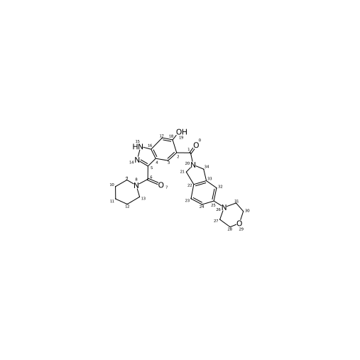 O=C(c1cc2c(C(=O)N3CCCCC3)n[nH]c2cc1O)N1Cc2ccc(N3CCOCC3)cc2C1